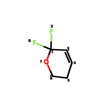 FC1(F)[C]=CC[C]O1